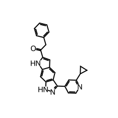 O=C(Cc1ccccc1)c1cc2cc3c(-c4ccnc(C5CC5)c4)n[nH]c3cc2[nH]1